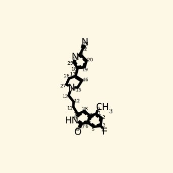 Cc1cc(F)cc2c(=O)[nH]c(CCCN3CC=C(c4ccc(C#N)nc4)CC3)cc12